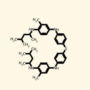 Cc1cc(Nc2ccc(Sc3ccc(Nc4ccc(NC(C)CC(C)C)c(C)c4)cc3)cc2)ccc1NC(C)CC(C)C